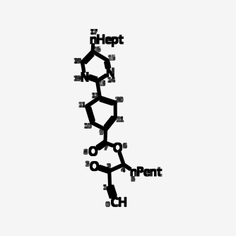 C#CC(=O)C(CCCCC)OC(=O)c1ccc(-c2ncc(CCCCCCC)cn2)cc1